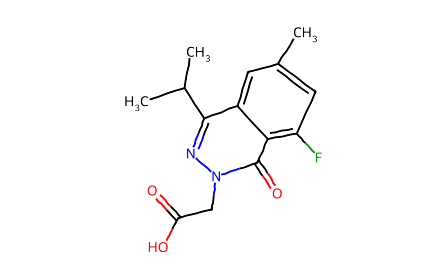 Cc1cc(F)c2c(=O)n(CC(=O)O)nc(C(C)C)c2c1